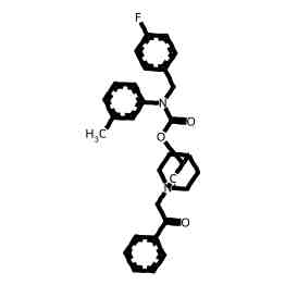 Cc1cccc(N(Cc2ccc(F)cc2)C(=O)OC2C[N+]3(CC(=O)c4ccccc4)CCC2CC3)c1